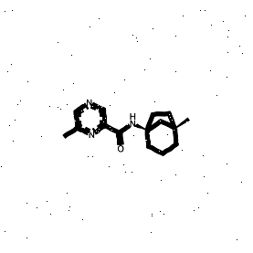 Cc1cncc(C(=O)N[C@@]23CCC[C@@](C)(CC2)C3)n1